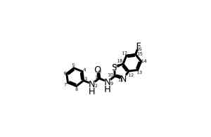 O=C(Nc1ccccc1)Nc1nc2ccc(F)cc2s1